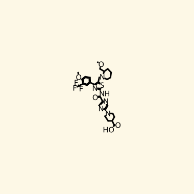 COCC1CCCCN1Cc1sc(NC(=O)c2cnc(N3CCC(C(=O)O)CC3)cn2)nc1-c1ccc(OC)c(C(F)(F)F)c1